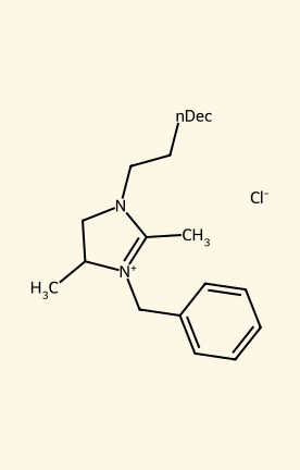 CCCCCCCCCCCCN1CC(C)[N+](Cc2ccccc2)=C1C.[Cl-]